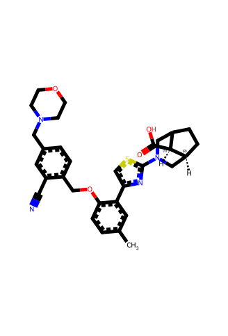 Cc1ccc(OCc2ccc(CN3CCOCC3)cc2C#N)c(-c2csc(N3CC4CC[C@@H](C3)[C@H]4C(=O)O)n2)c1